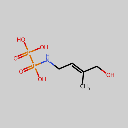 C/C(=C\CNP(=O)(O)P(=O)(O)O)CO